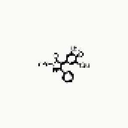 CCCN1N=C(c2ccccc2)C(=C2C=C(C(C)(C)C)C(=O)C(C(C)(C)C)=C2)C1=O